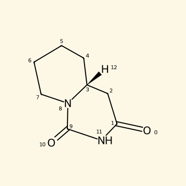 O=C1C[C@H]2CCCCN2C(=O)N1